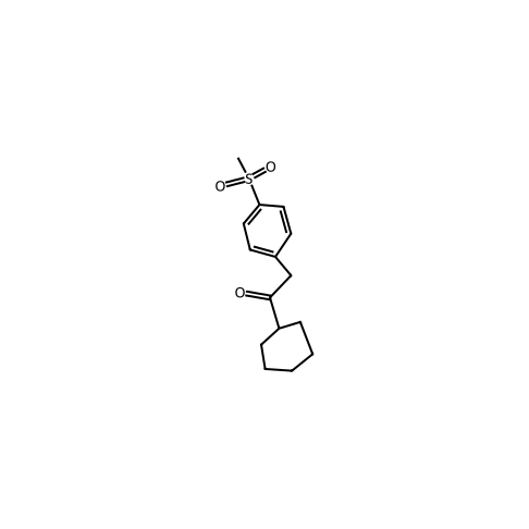 CS(=O)(=O)c1ccc(CC(=O)C2CCCCC2)cc1